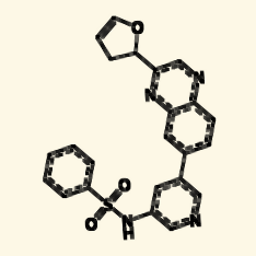 O=S(=O)(Nc1cncc(-c2ccc3ncc(C4CC=CO4)nc3c2)c1)c1ccccc1